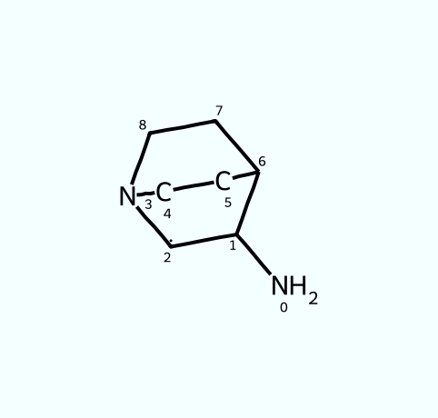 NC1[CH]N2CCC1CC2